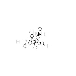 Cc1ccc(N2B3c4cc5nc(-c6ccccc6)n(C)c5cc4-n4c5ccc(C)cc5c5c6ccccc6c(c3c54)-c3cc4c(cc32)C(C)(C)c2ccccc2-4)cc1